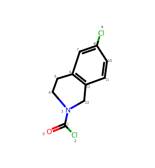 O=C(Cl)N1CCc2cc(Cl)ccc2C1